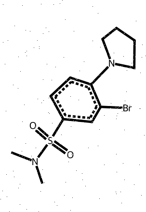 CN(C)S(=O)(=O)c1ccc(N2CCCC2)c(Br)c1